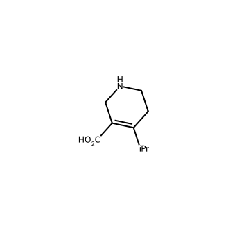 CC(C)C1=C(C(=O)O)CNCC1